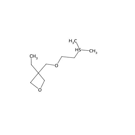 CCC1(COCC[SH](C)C)COC1